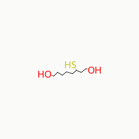 OCCCCCC(S)CCO